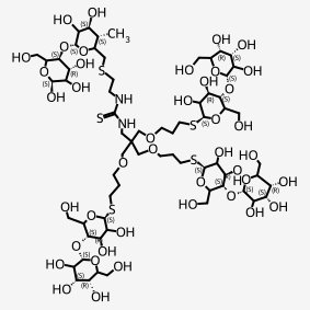 C[C@@H]1C(CSCCNC(=S)NCC(COCCCS[C@@H]2OC(CO)[C@@H](O[C@@H]3OC(CO)[C@H](O)[C@H](O)C3O)[C@H](O)C2O)(COCCCS[C@@H]2OC(CO)[C@@H](O[C@@H]3OC(CO)[C@H](O)[C@H](O)C3O)[C@H](O)C2O)COCCCS[C@@H]2OC(CO)[C@@H](O[C@@H]3OC(CO)[C@H](O)[C@H](O)C3O)[C@H](O)C2O)O[C@H](O[C@@H]2C(CO)O[C@H](O)C(O)[C@H]2O)C(O)[C@H]1O